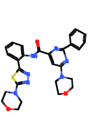 O=C(Nc1ccccc1-c1nnc(N2CCOCC2)s1)c1cc(N2CCOCC2)nc(-c2ccccc2)n1